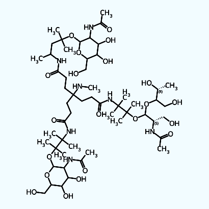 CNC(CCC(=O)NC(C)CC(C)(C)OC1OC(CO)C(O)C(O)C1NC(C)=O)(CCC(=O)NC(C)(C)C(C)(C)OC1OC(CO)C(O)C(O)C1NC(C)=O)CCC(=O)NC(C)(C)C(C)(C)OC(OC(CO)[C@@H](C)O)[C@H](CO)NC(C)=O